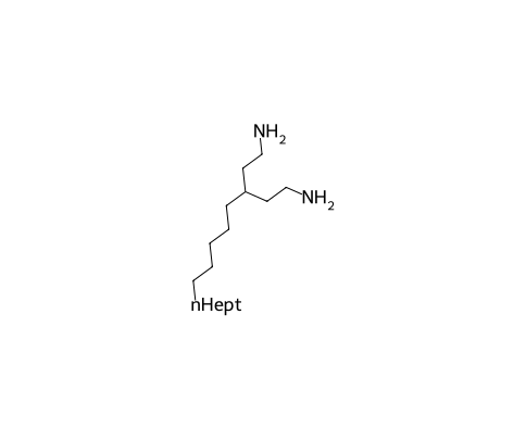 CCCCCCCCCCCCC(CCN)CCN